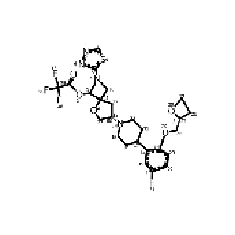 O=C(OC1N(c2nncs2)CC12C[C@H](N1CCC(c3cc(F)ccc3OC[C@@H]3CCO3)CC1)CO2)C(F)(F)F